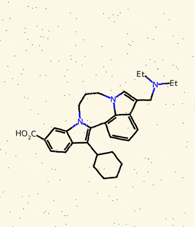 CCN(CC)Cc1cn2c3c(cccc13)-c1c(C3CCCCC3)c3ccc(C(=O)O)cc3n1CCC2